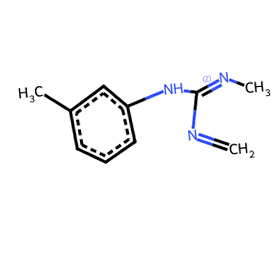 C=N/C(=N\C)Nc1cccc(C)c1